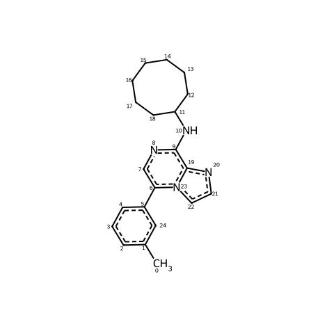 Cc1cccc(-c2cnc(NC3CCCCCCC3)c3nccn23)c1